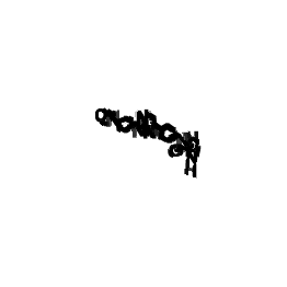 O=C(Nc1ccc(-c2ccnc(Nc3ccc(N4CCOCC4)cc3)n2)cc1)C1CNCCO1